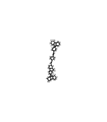 CC1(C)c2cc(C#Cc3ccc(C#Cc4ccc(N5c6ccccc6C6CCCCC65)cc4)cc3)ccc2-c2ccc(N3c4ccccc4C4CCCCC43)cc21